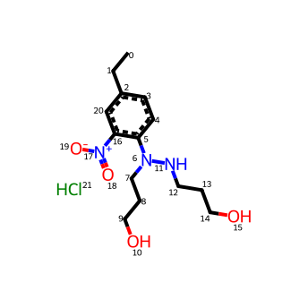 CCc1ccc(N(CCCO)NCCCO)c([N+](=O)[O-])c1.Cl